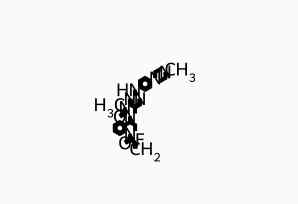 C=C(F)C(=O)N1CCC(N2Cc3cnc(Nc4ccc(N5CCN(C)CC5)cc4)nc3N(C)C2=O)c2ccccc21